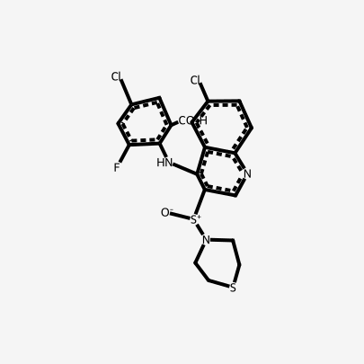 O=C(O)c1cc(Cl)cc(F)c1Nc1c([S+]([O-])N2CCSCC2)cnc2ccc(Cl)cc12